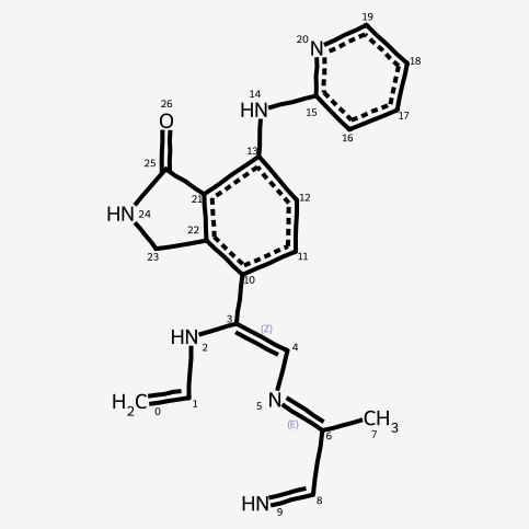 C=CN/C(=C\N=C(/C)C=N)c1ccc(Nc2ccccn2)c2c1CNC2=O